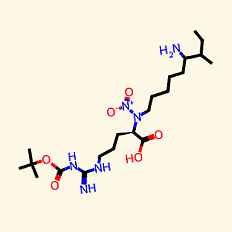 CCC(C)C(N)CCCCCN([C@H](CCCNC(=N)NC(=O)OC(C)(C)C)C(=O)O)[N+](=O)[O-]